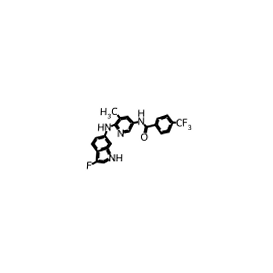 Cc1cc(NC(=O)c2ccc(C(F)(F)F)cc2)cnc1Nc1ccc2c(F)c[nH]c2c1